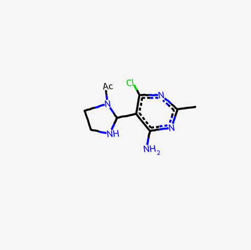 CC(=O)N1CCNC1c1c(N)nc(C)nc1Cl